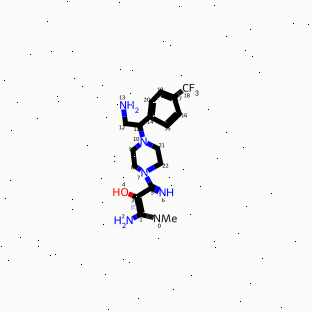 CN/C(N)=C(/O)C(=N)N1CCN(C(CN)c2ccc(C(F)(F)F)cc2)CC1